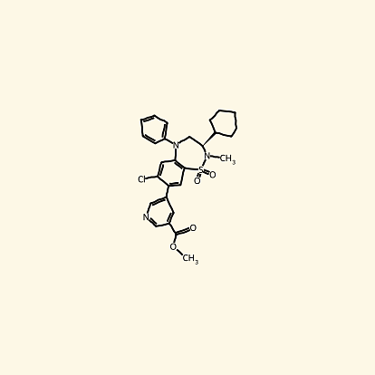 COC(=O)c1cncc(-c2cc3c(cc2Cl)N(c2ccccc2)C[C@@H](C2CCCCC2)N(C)S3(=O)=O)c1